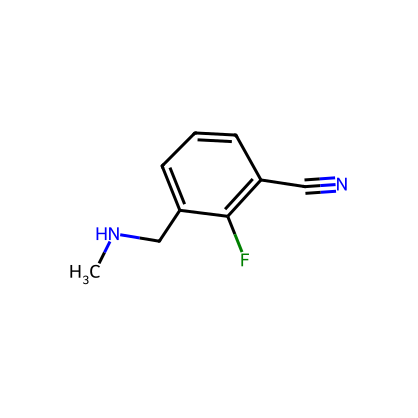 CNCc1cccc(C#N)c1F